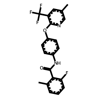 Cc1cnc(Oc2ccc(NC(=O)c3c(C)cccc3F)cc2)c(C(F)(F)F)c1